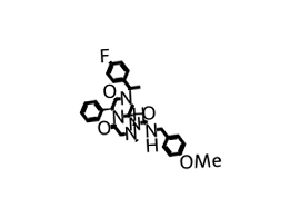 COc1ccc(CNC(=O)N2[C@H]3CN(C(C)c4ccc(F)cc4)C(=O)[C@H](c4ccccc4)N3C(=O)CN2C)cc1